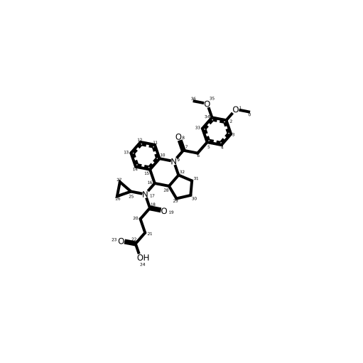 COc1ccc(CC(=O)N2c3ccccc3C(N(C(=O)CCC(=O)O)C3CC3)C3CCCC32)cc1OC